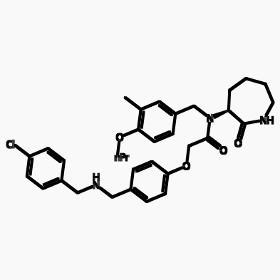 CCCOc1ccc(CN(C(=O)COc2ccc(CNCc3ccc(Cl)cc3)cc2)[C@H]2CCCCNC2=O)cc1C